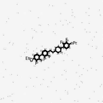 CCCc1ccc(C2=CCC(CCc3ccc(-c4ccc(OCC)c(F)c4F)c(F)c3F)CC2)c(F)c1F